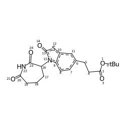 CC(C)(C)OC(=O)CCc1ccc2c(c1)sc(=O)n2C1CCCC(=O)NC1=O